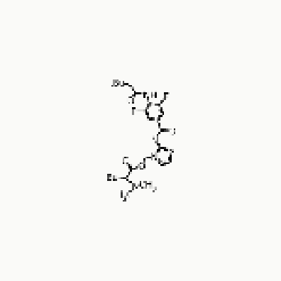 CCC(C)C(C(=O)OCn1ccsc1=NC(=O)c1cc(F)c(NC(=O)CC(C)(C)C)c(F)c1)N(C)C